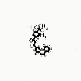 CC(C)(C)c1ccc(C(=O)CC(=O)c2ccc3ccc4ccccc4c3c2)cc1